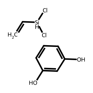 C=C[SiH](Cl)Cl.Oc1cccc(O)c1